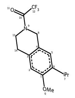 COc1cc2c(cc1C(C)C)CN(C(=O)C(F)(F)F)CC2